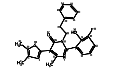 Cc1cc(-c2c(C)nc(-c3cccc(F)c3O)n(CCc3ccccc3)c2=O)sc1C